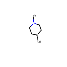 CC(C)N1CCB(C#N)CC1